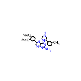 COc1ccc(-c2cnc3nc(N)nc(N4CCNCC4c4cccc(C)c4)c3n2)cc1OC